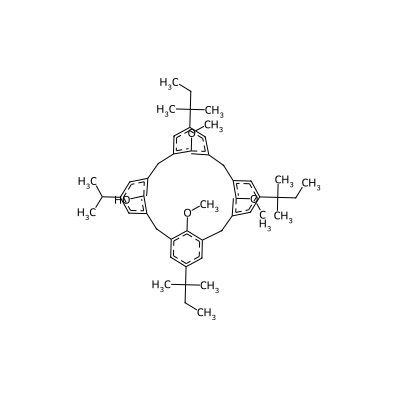 CCC(C)(C)c1cc2c(OC)c(c1)Cc1cc(C(C)(C)CC)cc(c1OC)Cc1cc(C(C)(C)CC)cc(c1OC)Cc1cc(C(C)C)cc(c1O)C2